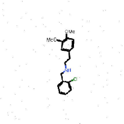 COc1ccc(CCNCc2ccccc2Cl)cc1OC